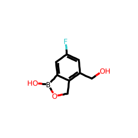 OCc1cc(F)cc2c1COB2O